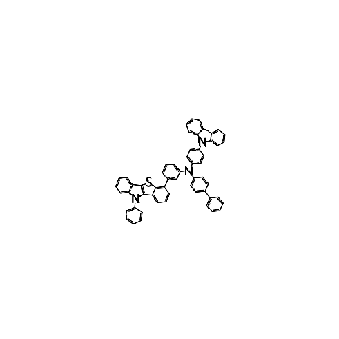 c1ccc(-c2ccc(N(c3ccc(-n4c5ccccc5c5ccccc54)cc3)c3cccc(-c4cccc5c4sc4c6ccccc6n(-c6ccccc6)c54)c3)cc2)cc1